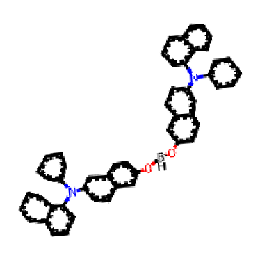 B(Oc1ccc2cc(N(c3ccccc3)c3cccc4ccccc34)ccc2c1)Oc1ccc2cc(N(c3ccccc3)c3cccc4ccccc34)ccc2c1